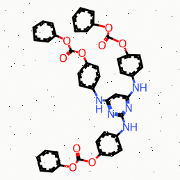 O=C(Oc1ccccc1)Oc1ccc(Nc2cc(Nc3ccc(OC(=O)Oc4ccccc4)cc3)nc(Nc3ccc(OC(=O)Oc4ccccc4)cc3)n2)cc1